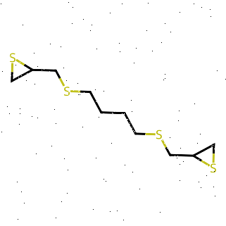 C(CCSCC1CS1)CSCC1CS1